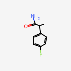 C[C](C(N)=O)c1ccc(F)cc1